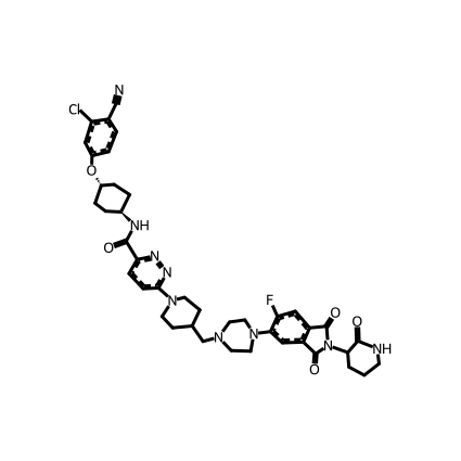 N#Cc1ccc(O[C@H]2CC[C@H](NC(=O)c3ccc(N4CCC(CN5CCN(c6cc7c(cc6F)C(=O)N(C6CCCNC6=O)C7=O)CC5)CC4)nn3)CC2)cc1Cl